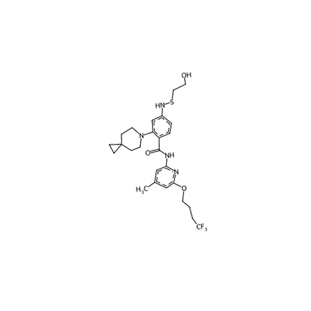 Cc1cc(NC(=O)c2ccc(NSCCO)cc2N2CCC3(CC2)CC3)nc(OCCCC(F)(F)F)c1